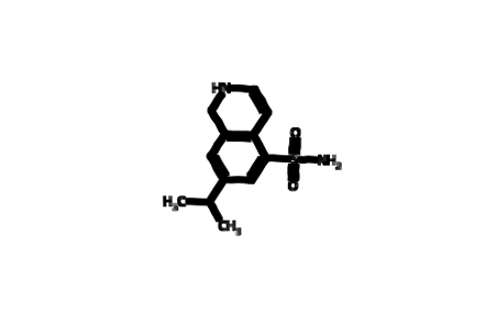 CC(C)c1cc2c(c(S(N)(=O)=O)c1)C=CNC2